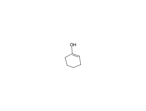 OC1=CCCCC1